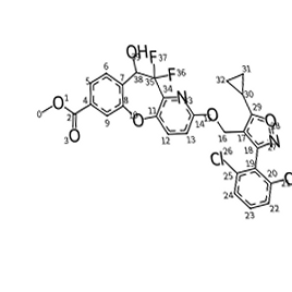 COC(=O)c1ccc2c(c1)Oc1ccc(OCc3c(-c4c(Cl)cccc4Cl)noc3C3CC3)nc1C(F)(F)C2O